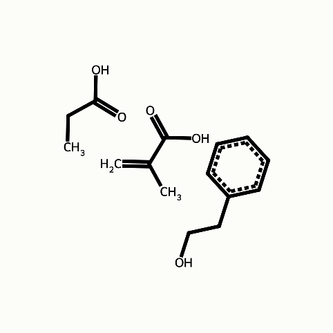 C=C(C)C(=O)O.CCC(=O)O.OCCc1ccccc1